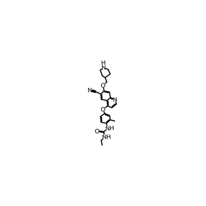 CCNC(=O)Nc1ccc(Oc2ccnc3cc(OCC4CCNCC4)c(C#N)cc23)cc1C